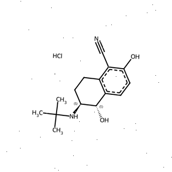 CC(C)(C)N[C@H]1CCc2c(ccc(O)c2C#N)[C@@H]1O.Cl